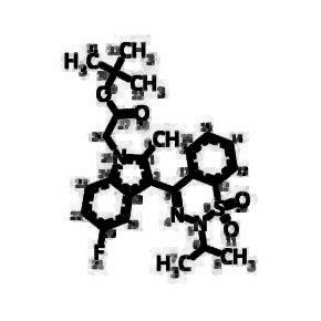 Cc1c(C2=NN(C(C)C)S(=O)(=O)c3ccccc32)c2cc(F)ccc2n1CC(=O)OC(C)(C)C